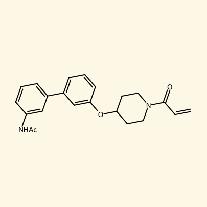 C=CC(=O)N1CCC(Oc2cccc(-c3cccc(NC(C)=O)c3)c2)CC1